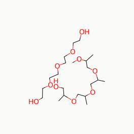 COC(C)COC(C)COC(C)COC(C)CO.OCCOCCOCCOCCO